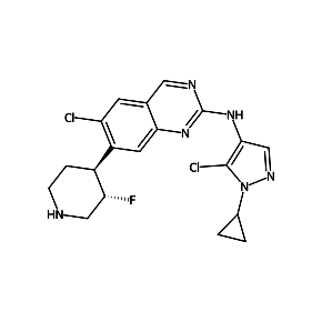 F[C@@H]1CNCC[C@H]1c1cc2nc(Nc3cnn(C4CC4)c3Cl)ncc2cc1Cl